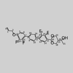 C=CCOc1ccc(-c2ccc(-c3ccc(C4OCC(C(C)O)CO4)c(F)c3F)cc2)c(F)c1F